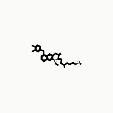 C=C(/C=C/CC(C)CCCCOC)Cc1cc2c(Cc3ccc(C)c(C)c3)cccc2cc1OCC